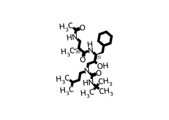 CC(=O)NC[C@@H](C)C(=O)N[C@@H](CC1CCCCC1)C(O)CN(CCC(C)C)C(=O)NC(C)(C)C